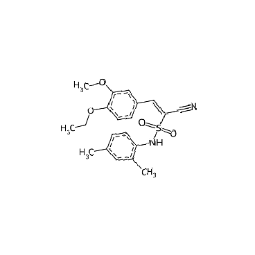 CCOc1ccc(C=C(C#N)S(=O)(=O)Nc2ccc(C)cc2C)cc1OC